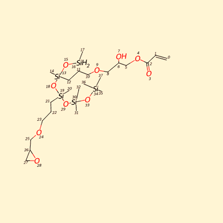 C=CC(=O)OCC(O)COCCC[Si](C)(O[SiH2]C)O[Si](C)(CCCOCC1CO1)O[Si](C)(C)O[Si](C)(C)C